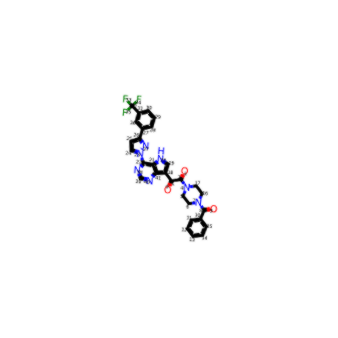 O=C(C(=O)N1CCN(C(=O)c2ccccc2)CC1)c1c[nH]c2c(-n3ccc(-c4cccc(C(F)(F)F)c4)n3)ncnc12